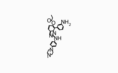 CCC(=O)Oc1ccc2cnc(Nc3ccc(N4CCN(C)CC4)cc3)nc2c1-c1cccc(N)c1